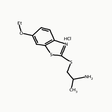 CCOc1ccc2nc(SCC(C)N)sc2c1.Cl